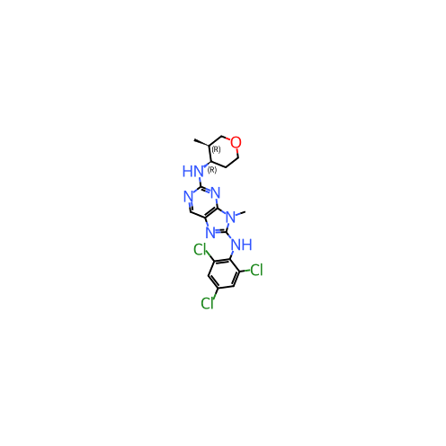 C[C@H]1COCC[C@H]1Nc1ncc2nc(Nc3c(Cl)cc(Cl)cc3Cl)n(C)c2n1